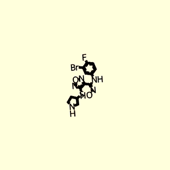 O/N=C(/Nc1ccc(F)c(Br)c1)c1nonc1SC1CCNC1